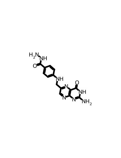 NNC(=O)c1ccc(NCc2cnc3nc(N)[nH]c(=O)c3n2)cc1